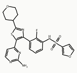 Nc1nccc(-c2sc(C3CCOCC3)nc2-c2cccc(NS(=O)(=O)c3ccoc3)c2F)n1